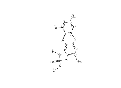 CCOP(=O)(Cc1cc(Oc2c(Cl)cc(C(F)(F)F)cc2Cl)ccc1[N+](=O)[O-])OCC